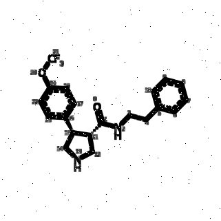 O=C(NCCc1ccccc1)[C@@H]1CNC[C@H]1c1ccc(OC(F)(F)F)cc1